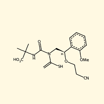 C=C(S)N(C[C@H](OCCC#N)c1ccccc1OC)C(=O)NC(C)(C)C(=O)O